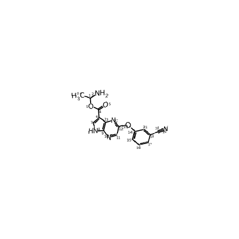 CC(N)OC(=O)c1c[nH]c2ncc(Oc3cccc(C#N)c3)nc12